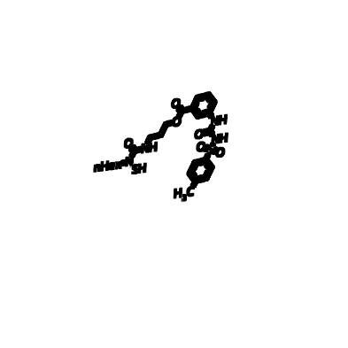 CCCCCCN(S)C(=O)NCCCOC(=O)c1cccc(NC(=O)NS(=O)(=O)c2ccc(C)cc2)c1